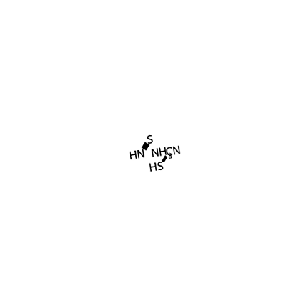 N.N#CS.N=S